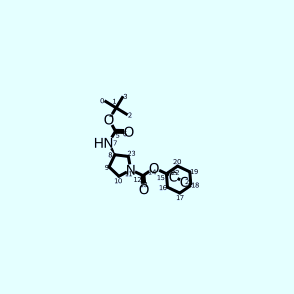 CC(C)(C)OC(=O)N[C@@H]1CCN(C(=O)OC23CCC(CC2)CC3)C1